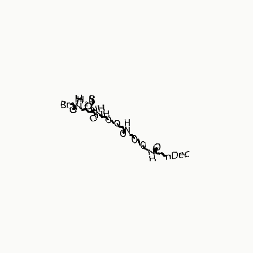 BCC(=O)NC(CCCNC(=O)CBr)C(=O)NCCOCCOCCC(=O)NCCOCCOCCNC(=O)CCCCCCCCCCCCC